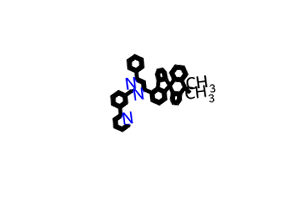 CC1(C)c2ccccc2C2(c3ccccc3-c3c(-c4cc(-c5ccccc5)nc(-c5cccc(-c6ccccn6)c5)n4)cccc32)c2ccccc21